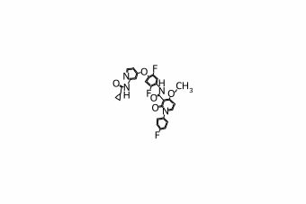 CCOc1ccn(-c2ccc(F)cc2)c(=O)c1C(=O)Nc1cc(F)c(Oc2ccnc(NC(=O)C3CC3)c2)cc1F